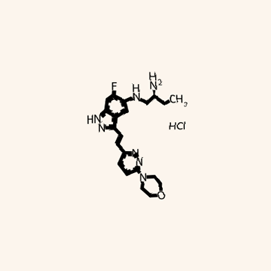 CC[C@H](N)CNc1cc2c(/C=C/c3ccc(N4CCOCC4)nn3)n[nH]c2cc1F.Cl